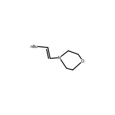 CCCCC=CN1CCOCC1